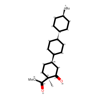 CCCC[C@H]1CC[C@H](C2CCC([C@@H]3CC[C@](C)(C(=O)OC)C(=O)C3)CC2)CC1